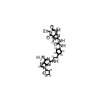 CCn1c(=O)c2c(nc(NC(=O)Nc3ccc(CCNc4nc(N)c5ncn([C@H]6CCCO6)c5n4)cc3)n2C)n(CC)c1=O